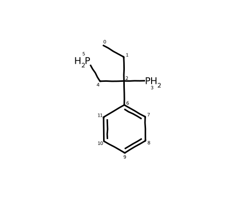 CCC(P)(CP)c1ccccc1